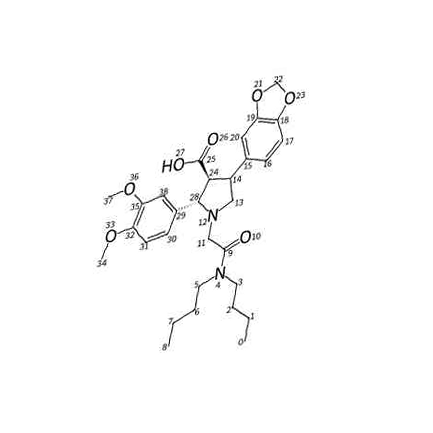 CCCCN(CCCC)C(=O)CN1CC(c2ccc3c(c2)OCO3)[C@H](C(=O)O)[C@H]1c1ccc(OC)c(OC)c1